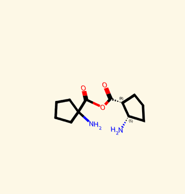 N[C@H]1CCC[C@H]1C(=O)OC(=O)C1(N)CCCC1